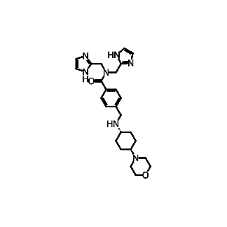 O=C(c1ccc(CN[C@H]2CC[C@H](N3CCOCC3)CC2)cc1)N(Cc1ncc[nH]1)Cc1ncc[nH]1